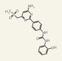 CS(=O)(=O)Cc1cc(N)nc(-c2ccc(NC(=O)Nc3ccccc3O)cc2)n1